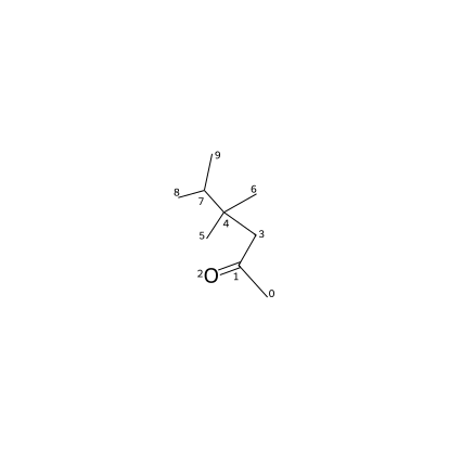 CC(=O)CC(C)(C)C(C)C